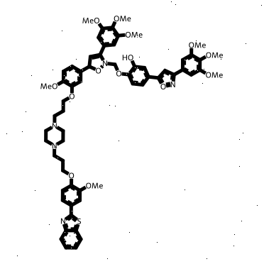 COc1cc(-c2nc3ccccc3s2)ccc1OCCCN1CCN(CCCOc2cc(C3C=C(c4cc(OC)c(OC)c(OC)c4)N(COc4ccc(-c5cc(-c6cc(OC)c(OC)c(OC)c6)no5)cc4O)O3)ccc2OC)CC1